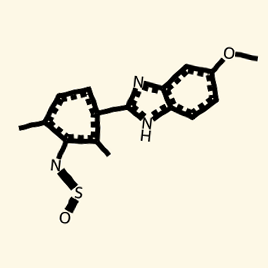 COc1ccc2[nH]c(-c3ccc(C)c(N=S=O)c3C)nc2c1